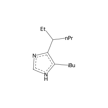 CCCC(CC)c1nc[nH]c1C(C)CC